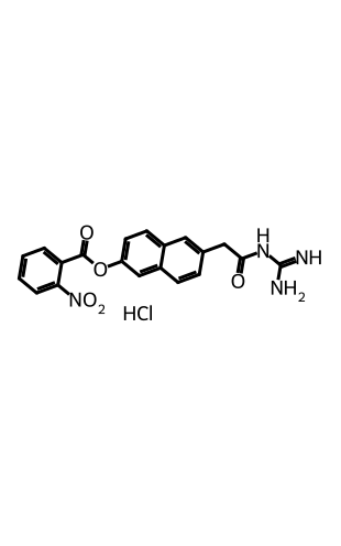 Cl.N=C(N)NC(=O)Cc1ccc2cc(OC(=O)c3ccccc3[N+](=O)[O-])ccc2c1